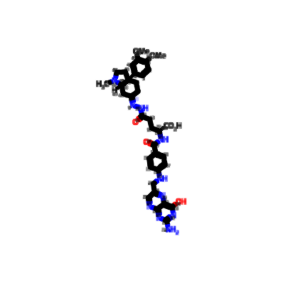 COc1ccc([C@@]23CC/C(=N\NC(=O)CC[C@H](NC(=O)c4ccc(NCc5cnc6nc(N)nc(O)c6n5)cc4)C(=O)O)C[C@@H]2N(C)CC3)cc1OC